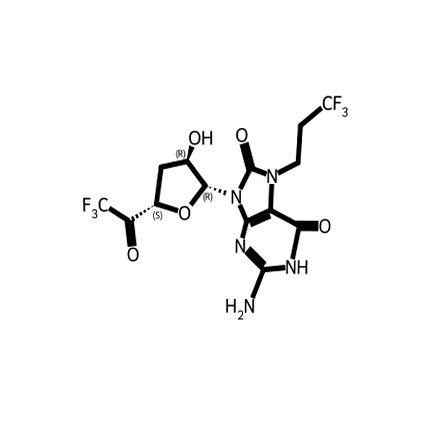 Nc1nc2c(c(=O)[nH]1)n(CCC(F)(F)F)c(=O)n2[C@@H]1O[C@H](C(=O)C(F)(F)F)C[C@H]1O